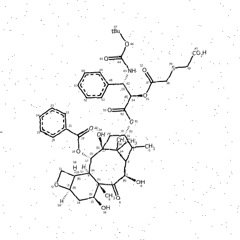 CC1C2[C@@H](O)C(=O)[C@@]3(C)[C@@H]([C@@H]4CO[C@@H]4C[C@@H]3O)[C@H](OC(=O)c3ccccc3)[C@](O)(C[C@@H]1OC(=O)[C@H](OC(=O)CSCC(=O)O)[C@@H](NC(=O)OC(C)(C)C)c1ccccc1)C2(C)C